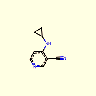 N#Cc1cnccc1NC1CC1